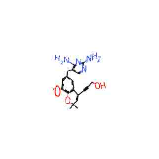 COc1cc(Cc2cnc(N)nc2N)cc2c1OC(C)(C)C=C2C#CCO